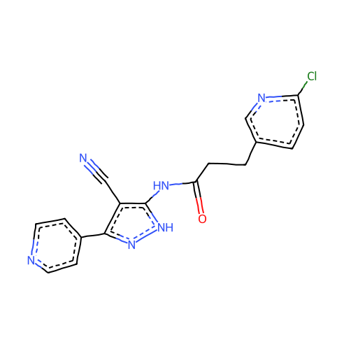 N#Cc1c(-c2ccncc2)n[nH]c1NC(=O)CCc1ccc(Cl)nc1